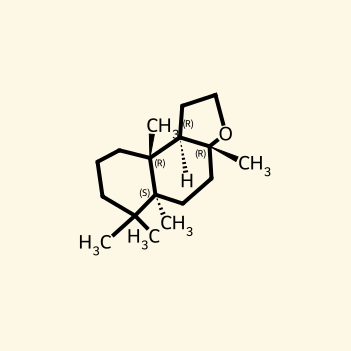 CC1(C)CCC[C@]2(C)[C@H]3CCO[C@]3(C)CC[C@@]12C